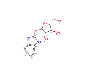 OC[C@H]1OC(Oc2nc3ccccc3[nH]2)[C@H](O)[C@@H]1O